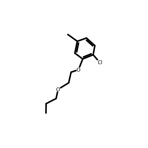 CCCOCCOc1cc(C)ccc1Cl